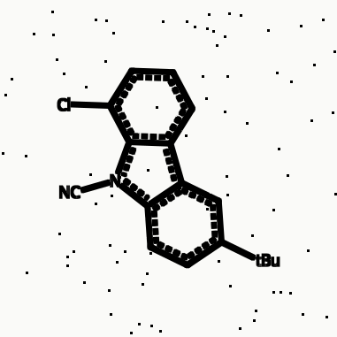 CC(C)(C)c1ccc2c(c1)c1cccc(Cl)c1n2C#N